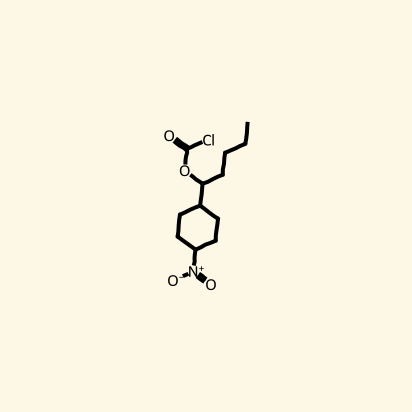 CCCCC(OC(=O)Cl)C1CCC([N+](=O)[O-])CC1